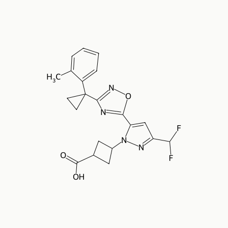 Cc1ccccc1C1(c2noc(-c3cc(C(F)F)nn3C3CC(C(=O)O)C3)n2)CC1